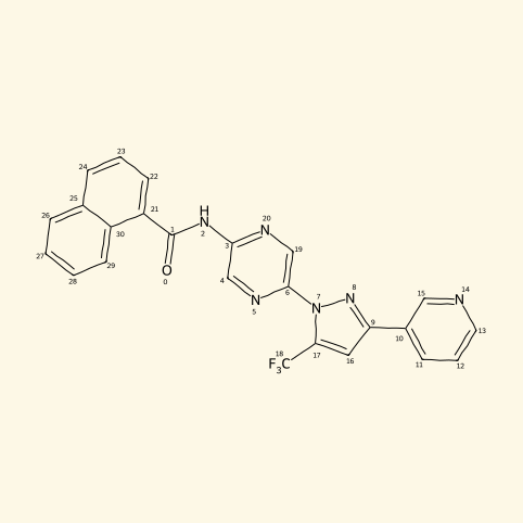 O=C(Nc1cnc(-n2nc(-c3cccnc3)cc2C(F)(F)F)cn1)c1cccc2ccccc12